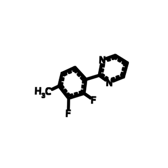 Cc1ccc(-c2ncccn2)c(F)c1F